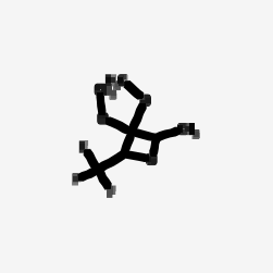 COC1(OC)C(C)OC1C(F)(F)F